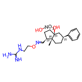 C[C@]12CC[C@H](c3ccccc3)C[C@@]1(O)CC[C@@H]2C=NOCCNC(=N)N.O=[N+]([O-])O